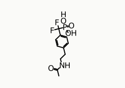 CC(=O)NCCc1ccc(C(F)(F)P(=O)(O)O)cc1